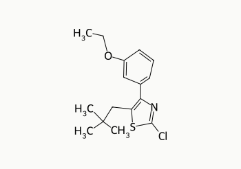 CCOc1cccc(-c2nc(Cl)sc2CC(C)(C)C)c1